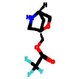 O=C(OC[C@@]12CN[C@@H](CO1)C2)C(F)(F)F